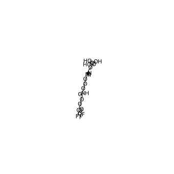 O=C(CCOCCOCCC(=O)Oc1cc(F)c(F)c(F)c1F)NCCOCCOCCOCCn1cc(CCOC[C@H]2O[C@@H](O)C[C@@H](O)[C@H]2O)nn1